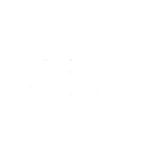 CC(=Cc1ccccc1)C(=O)OF